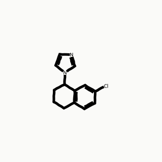 Clc1ccc2c(c1)C(n1ccnc1)CCC2